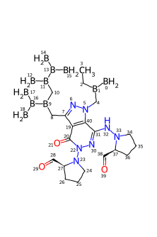 BB(CC)Cn1nc(CB(CB(B)B(B)B)B(B)B)c2c(=O)n(N3CCC[C@H]3C=O)nc(NN3CCC[C@H]3C=O)c21